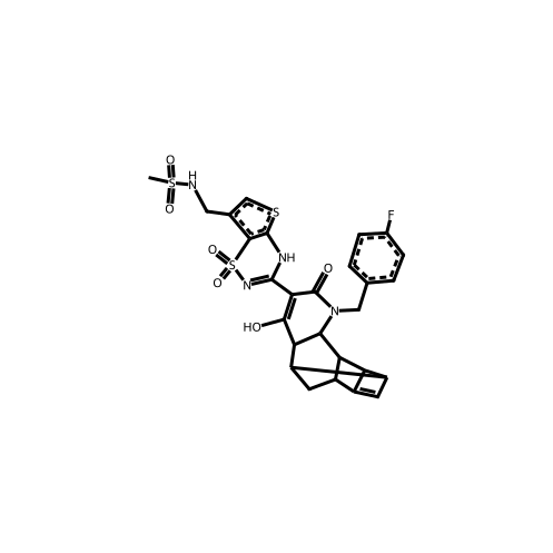 CS(=O)(=O)NCc1csc2c1S(=O)(=O)N=C(C1=C(O)C3C4CC5C6=CC4C6C5C3N(Cc3ccc(F)cc3)C1=O)N2